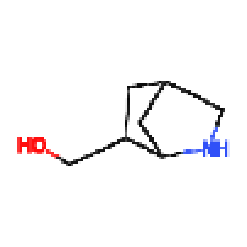 OCC1CC2CNC1C2